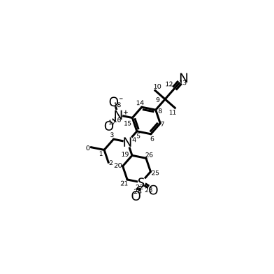 CC(C)CN(c1ccc(C(C)(C)C#N)cc1[N+](=O)[O-])C1CCS(=O)(=O)CC1